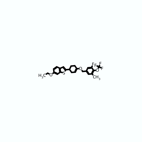 CCOc1ccc2cc(C3CC=C(OCc4cc(C)c(OC(F)(F)F)c(F)c4)CC3)sc2c1